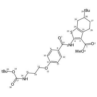 COC(=O)c1c(NC(=O)c2ccc(OCCCNC(=O)OC(C)(C)C)cc2)sc2c1CCC(C(C)(C)C)C2